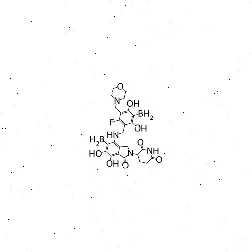 Bc1c(O)c(CNc2c(B)c(O)c(O)c3c2CN(C2CCC(=O)NC2=O)C3=O)c(F)c(CN2CCOCC2)c1O